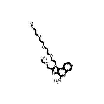 CCOCc1nc2c(N)nc3ccccc3c2n1CCOCCOCCOCCP=O